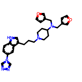 c1cc(CN(Cc2ccoc2)C2CCN(CCCc3c[nH]c4ccc(-n5cnnc5)cc34)CC2)co1